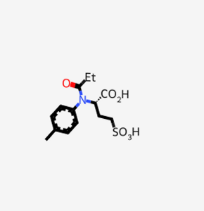 CCC(=O)N(c1ccc(C)cc1)[C@@H](CCS(=O)(=O)O)C(=O)O